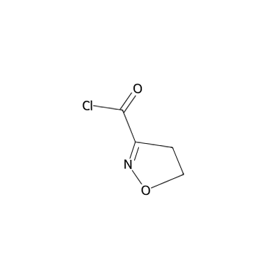 O=C(Cl)C1=NOCC1